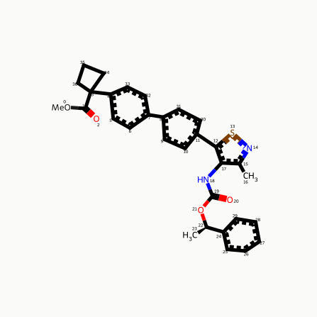 COC(=O)C1(c2ccc(-c3ccc(-c4snc(C)c4NC(=O)O[C@H](C)c4ccccc4)cc3)cc2)CCC1